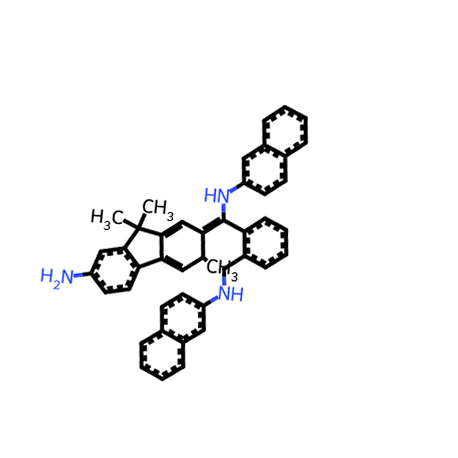 CC1C=C2C(=C/C1=C(\Nc1ccc3ccccc3c1)c1ccccc1CNc1ccc3ccccc3c1)C(C)(C)c1cc(N)ccc12